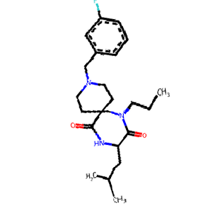 CCCN1C(=O)C(CC(C)C)NC(=O)C12CCN(Cc1cccc(F)c1)CC2